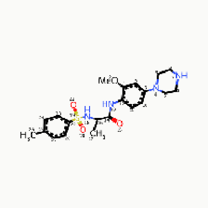 COc1cc(N2CCNCC2)ccc1NC(=O)C(C)NS(=O)(=O)c1ccc(C)cc1